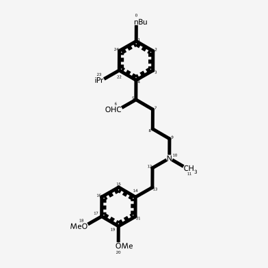 CCCCc1ccc(C(C=O)CCCN(C)CCc2ccc(OC)c(OC)c2)c(C(C)C)c1